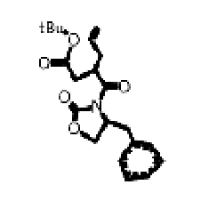 C=CCC(CC(=O)OC(C)(C)C)C(=O)N1C(=O)OCC1Cc1ccccc1